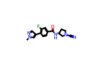 Cn1cc(-c2ccc(C(=O)N[C@@H]3CCN(C#N)C3)cc2F)cn1